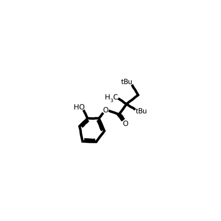 CC(C)(C)CC(C)(C(=O)Oc1ccccc1O)C(C)(C)C